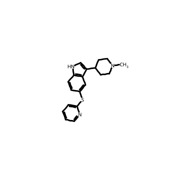 CN1CCC(c2c[nH]c3ccc(Sc4ccccn4)cc23)CC1